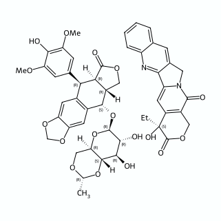 CC[C@@]1(O)C(=O)OCc2c1cc1n(c2=O)Cc2cc3ccccc3nc2-1.COc1cc([C@@H]2c3cc4c(cc3[C@@H](O[C@@H]3O[C@@H]5CO[C@@H](C)O[C@H]5[C@H](O)[C@H]3O)[C@H]3COC(=O)[C@H]23)OCO4)cc(OC)c1O